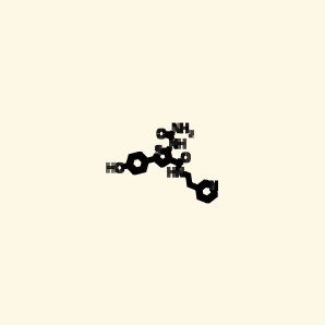 NC(=O)Nc1sc(-c2ccc(O)cc2)cc1C(=O)NCCc1cccnc1